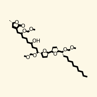 CCCCCCCCCC[C@@H](OCOC)[C@H]1CC[C@H]([C@H]2CC[C@H](C(CCC(O)CCCC(CC3=C[C@H](C)OC3=O)OCOC)OCOC)O2)O1